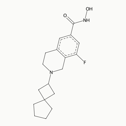 O=C(NO)c1cc(F)c2c(c1)CCN(C1CC3(CCCC3)C1)C2